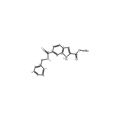 CC(C)(C)OC(=O)c1cc2ccc(C(=O)OCc3ccccc3)cc2[nH]1